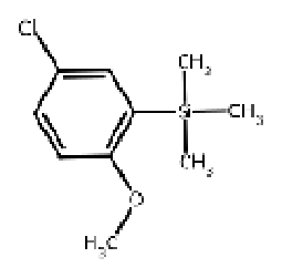 COc1ccc(Cl)cc1[Si](C)(C)C